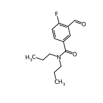 CCCN(CCC)C(=O)c1ccc(F)c(C=O)c1